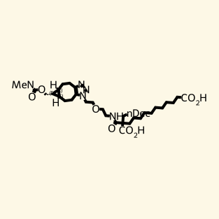 CCCCCCCCCCCC(CCCCCCCCCCC(=O)O)(C(=O)O)C(=O)NCCOCCn1nnc2c1CC[C@H]1[C@@H](CC2)[C@H]1COC(=O)NC